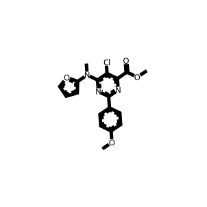 COC(=O)c1nc(-c2ccc(OC)cc2)nc(N(C)c2ccco2)c1Cl